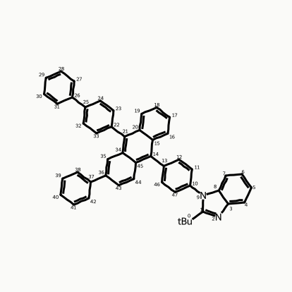 CC(C)(C)c1nc2ccccc2n1-c1ccc(-c2c3ccccc3c(-c3ccc(-c4ccccc4)cc3)c3cc(-c4ccccc4)ccc23)cc1